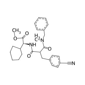 COC(=O)[C@@H](NC(=O)C(Cc1ccc(C#N)cc1)C(=O)N(C)Cc1ccccc1)C1CCCCC1